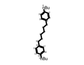 CCCCc1ccc(CCCCCCc2ccc(CCCC)cc2)cc1